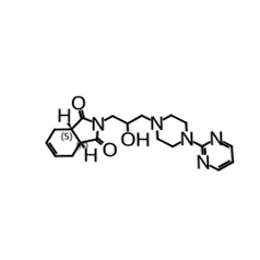 O=C1[C@H]2CC=CC[C@H]2C(=O)N1CC(O)CN1CCN(c2ncccn2)CC1